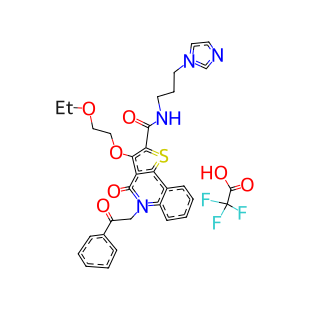 CCOCCOc1c(C(=O)NCCCn2ccnc2)sc2c1c(=O)n(CC(=O)c1ccccc1)c1ccccc21.O=C(O)C(F)(F)F